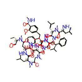 CC[C@@H](C=O)N(C)C(=O)C[C@H](NC(=O)[C@H](CC(C)C)N(C)C(=O)CN(C)C(=O)[C@@H](NC(=O)[C@H](CC(C)C)N(C)C(=O)[C@H](CC(C)C)N(C)C(=O)[C@@H](CCc1ccc(C(=O)NC)c(OC)c1)NC(=O)[C@H](Cc1ccccc1)N(C)C(=O)[C@H](CC(C)C)N(C)C(=O)[C@@H](N)CC(C)C)[C@@H](C)O)C(=O)N1CCCCC1